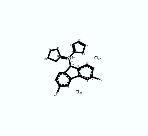 Fc1ccc2c(c1)-c1cc(F)ccc1[CH]2[Zr+2]([C]1=CC=CC1)=[C]1CCCC1.[Cl-].[Cl-]